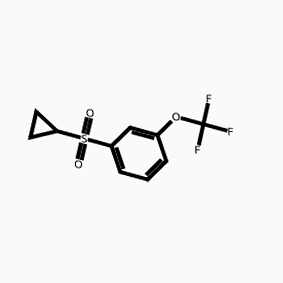 O=S(=O)(c1c[c]cc(OC(F)(F)F)c1)C1CC1